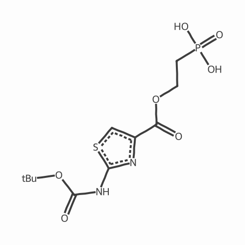 CC(C)(C)OC(=O)Nc1nc(C(=O)OCCP(=O)(O)O)cs1